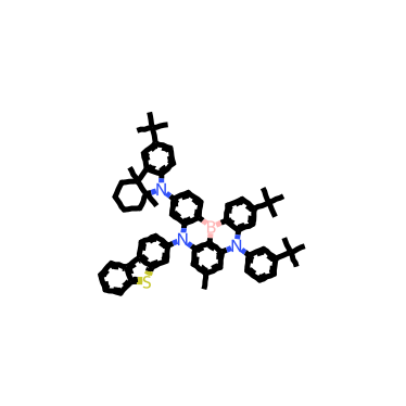 Cc1cc2c3c(c1)N(c1cccc(C(C)(C)C)c1)c1cc(C(C)(C)C)ccc1B3c1ccc(N3c4ccc(C(C)(C)C)cc4C4(C)CCCCC34C)cc1N2c1ccc2c(c1)sc1ccccc12